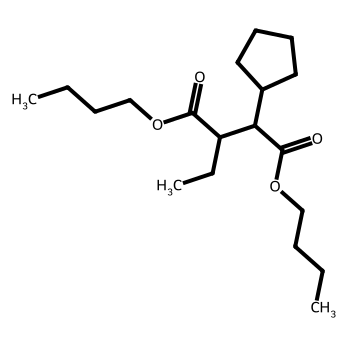 CCCCOC(=O)C(CC)C(C(=O)OCCCC)C1CCCC1